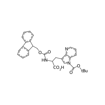 CC(C)(C)OC(=O)n1cc(CC(NC(=O)OCC2c3ccccc3-c3ccccc32)C(=O)O)c2ncccc21